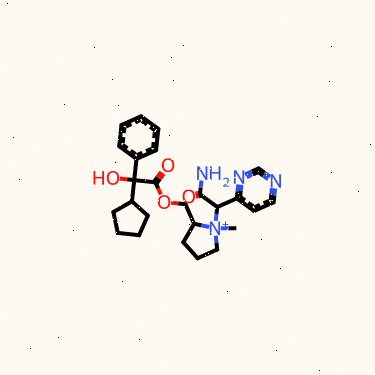 C[N+]1(C(C(N)=O)c2ccncn2)CCCC1COC(=O)C(O)(c1ccccc1)C1CCCC1